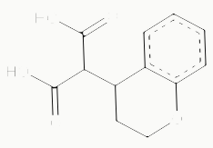 O=C(O)C(C(=O)O)C1CCOc2ccccc21